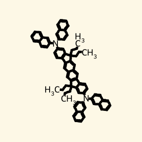 CCCC1(CCC)c2cc(N(c3ccc4ccccc4c3)c3ccc4ccccc4c3)ccc2-c2cc3cc4c(cc3cc21)-c1ccc(N(c2ccc3ccccc3c2)c2ccc3ccccc3c2)cc1C4(CCC)CCC